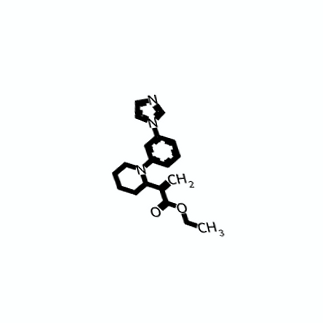 C=C(C(=O)OCC)C1CCCCN1c1cccc(-n2ccnc2)c1